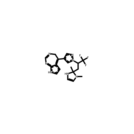 CN1C=CNC1(C)CC(n1cc(C2=c3cc[nH]c3=NC=NC2)cn1)C(F)(F)F